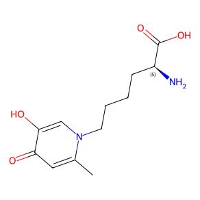 Cc1cc(=O)c(O)cn1CCCC[C@H](N)C(=O)O